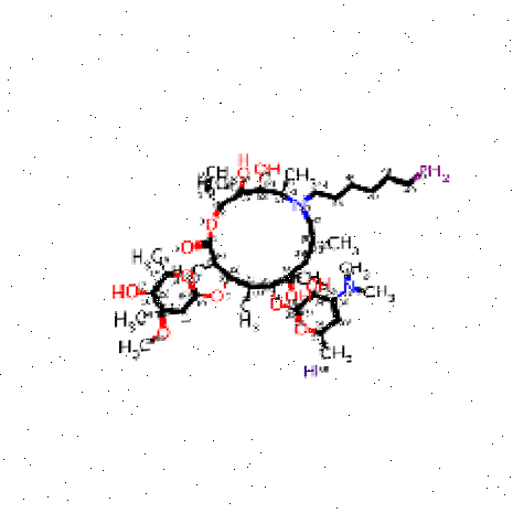 CC[C@H]1OC(=O)[C@H](C)[C@@H](O[C@H]2C[C@@](C)(OC)[C@@H](O)[C@H](C)O2)[C@H](C)[C@@H](O[C@@H]2O[C@H](C)C[C@H](N(C)C)[C@H]2O)[C@](C)(O)C[C@@H](C)CN(CCCCCCP)[C@H](C)[C@@H](O)[C@]1(C)O.I